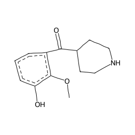 COc1c(O)cccc1C(=O)C1CCNCC1